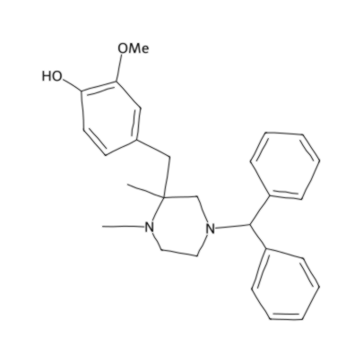 COc1cc(CC2(C)CN(C(c3ccccc3)c3ccccc3)CCN2C)ccc1O